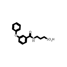 O=C(NCCCS(=O)(=O)O)c1cccc(Oc2ccccc2)c1